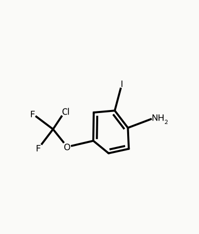 Nc1ccc(OC(F)(F)Cl)cc1I